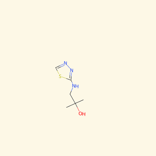 CC(C)(O)CNc1nncs1